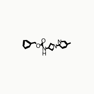 Cc1ccc(N2CC(NC(=O)OCc3ccccc3)C2)nc1